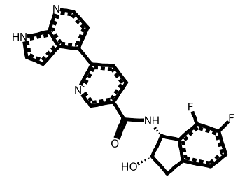 O=C(N[C@@H]1c2c(ccc(F)c2F)C[C@@H]1O)c1ccc(-c2ccnc3[nH]ccc23)nc1